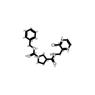 O=C(NCc1nccnc1Cl)C1CCN(C(=O)OCc2ccccc2)C1